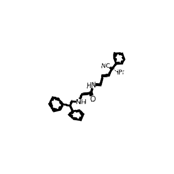 CC(C)[C@@](C#N)(CCCNC(=O)CNCC(c1ccccc1)c1ccccc1)c1ccccc1